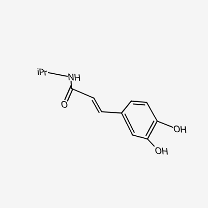 CC(C)NC(=O)C=Cc1ccc(O)c(O)c1